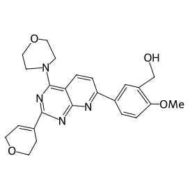 COc1ccc(-c2ccc3c(N4CCOCC4)nc(C4=CCOCC4)nc3n2)cc1CO